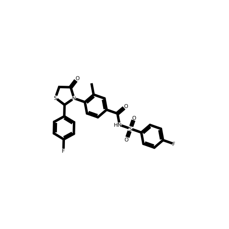 Cc1cc(C(=O)NS(=O)(=O)c2ccc(F)cc2)ccc1N1C(=O)CSC1c1ccc(F)cc1